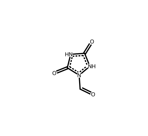 O=Cn1[nH]c(=O)[nH]c1=O